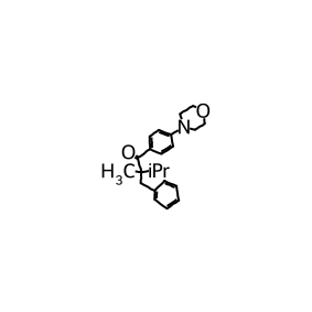 CC(C)C(C)(Cc1ccccc1)C(=O)c1ccc(N2CCOCC2)cc1